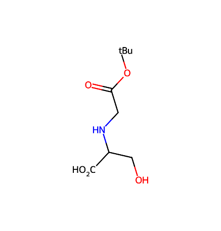 CC(C)(C)OC(=O)CNC(CO)C(=O)O